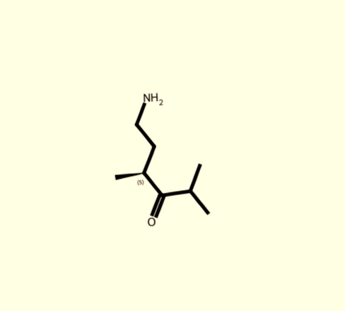 CC(C)C(=O)[C@@H](C)CCN